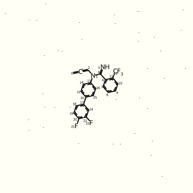 C=C=CN(C(=N)c1ccccc1C(F)(F)F)c1ccc(-c2ccc(F)c(F)c2)cc1